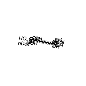 CCCCCCCCCCCC(O)C(C(=O)O)C(=O)CC(O)CCCCCCCCCCCC1O[C@H](C)[C@@H](O)[C@H](O)[C@@H]1O